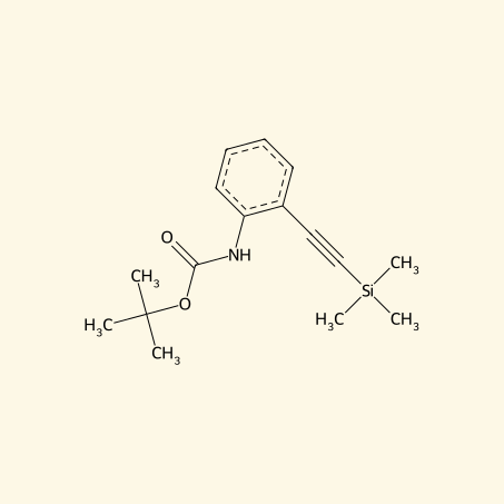 CC(C)(C)OC(=O)Nc1ccccc1C#C[Si](C)(C)C